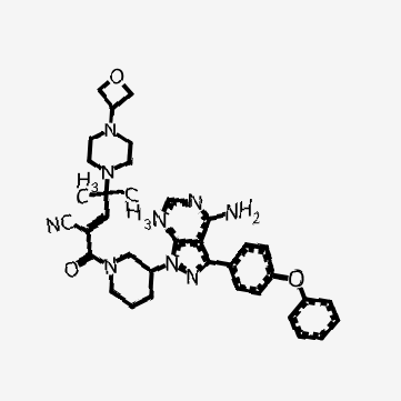 CC(C)(C=C(C#N)C(=O)N1CCCC(n2nc(-c3ccc(Oc4ccccc4)cc3)c3c(N)ncnc32)C1)N1CCN(C2COC2)CC1